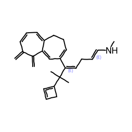 C=C1C=CC=C2CCC=C(/C(=C\C/C=C/NC)C(C)(C)C3=C=CC3)C=C2C1=C